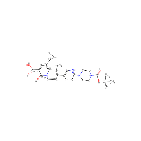 Cc1c(-c2ccc(N3CCN(C(=O)OC(C)(C)C)CC3)nc2)ccn2c(=O)c(C(=O)O)cc(C3CC3)c12